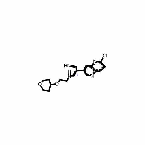 N=C/C(=C\NCCOC1CCOCC1)c1cnc2ccc(Cl)nc2c1